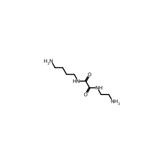 NCCCCNC(=O)C(=O)NCCN